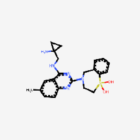 Cc1ccc2nc(N3CCS(O)(O)c4ccccc4C3)nc(NCC3(N)CC3)c2c1